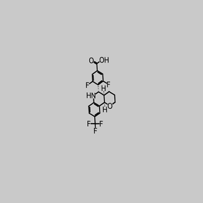 O=C(O)c1cc(F)c([C@H]2Nc3ccc(C(F)(F)F)cc3[C@@H]3OCCC[C@H]23)c(F)c1